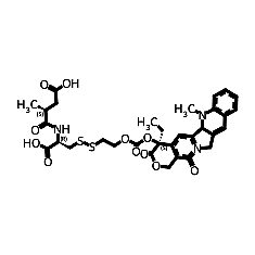 CC[C@@]1(OC(=O)OCCSSC[C@H](NC(=O)[C@@H](C)CC(=O)O)C(=O)O)C(=O)OCc2c1cc1n(c2=O)CC2=Cc3ccccc3N(C)C21